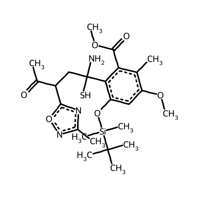 COC(=O)c1c(C)c(OC)cc(O[Si](C)(C)C(C)(C)C)c1C(N)(S)CC(C(C)=O)c1nc(C)no1